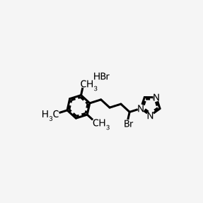 Br.Cc1cc(C)c(CCCC(Br)n2cncn2)c(C)c1